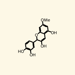 COc1cc(O)c2c(c1)OC(c1ccc(O)c(O)c1)C(O)=C2